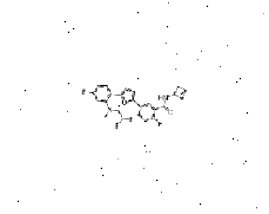 CN(CC(F)F)c1cc(F)ccc1-c1ccc(-c2ccc(F)c(C(=O)NC34CC(C3)C4)c2)o1